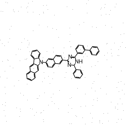 c1ccc(-c2cccc(C3=NC(c4ccc5cc(-n6c7ccccc7c7cc8ccccc8cc76)ccc5c4)=NC(c4ccccc4)N3)c2)cc1